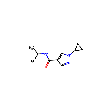 CC(C)NC(=O)c1cnn(C2CC2)c1